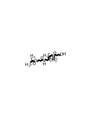 CC=C(C)C(=O)OCCCC(=O)NCCC(C)CC(C)(C)CNC(=O)CCCO